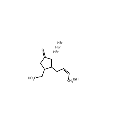 Br.Br.Br.Br.C/C=C\CC1CC(=O)CC1CC(=O)O